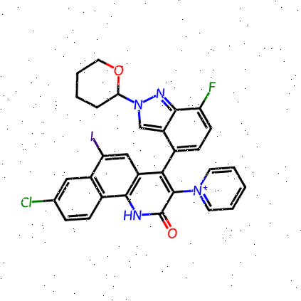 O=c1[nH]c2c(cc(I)c3cc(Cl)ccc32)c(-c2ccc(F)c3nn(C4CCCCO4)cc23)c1-[n+]1ccccc1